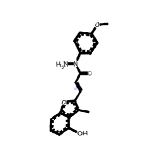 COc1ccc(N(N)C(=O)/C=C/c2oc3cccc(O)c3c2C)cc1